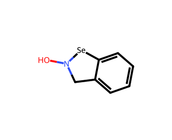 ON1Cc2ccccc2[Se]1